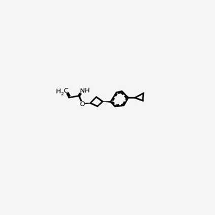 C=CC(=N)O[C@H]1C[C@@H](c2ccc(C3CC3)cc2)C1